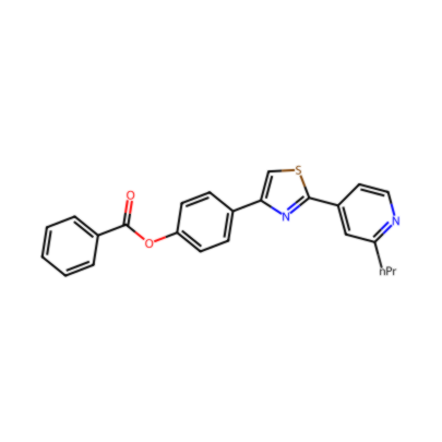 CCCc1cc(-c2nc(-c3ccc(OC(=O)c4ccccc4)cc3)cs2)ccn1